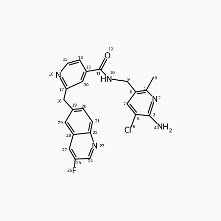 Cc1nc(N)c(Cl)cc1CNC(=O)c1ccnc(Cc2ccc3ncc(F)cc3c2)c1